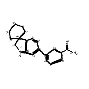 NC(=O)c1cccc(-c2ccc3c(c2)NCC32CCCCC2)c1